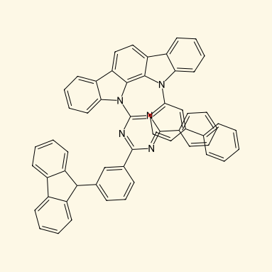 c1ccc(-c2cccc(-n3c4ccccc4c4ccc5c6ccccc6n(-c6nc(-c7ccccc7)nc(-c7cccc(C8c9ccccc9-c9ccccc98)c7)n6)c5c43)c2)cc1